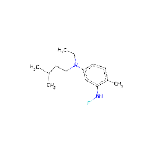 CCN(CCC(C)C)c1ccc(C)c(NF)c1